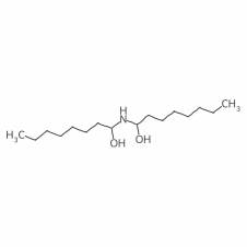 CCCCCCCC(O)NC(O)CCCCCCC